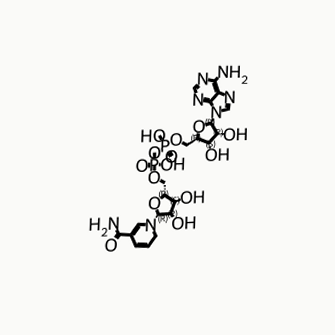 NC(=O)C1=CN([C@@H]2O[C@H](COP(=O)(O)OP(=O)(O)OC[C@H]3O[C@@H](n4cnc5c(N)ncnc54)[C@H](O)[C@@H]3O)[C@@H](O)[C@H]2O)CC=C1